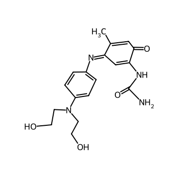 CC1=CC(=O)C(NC(N)=O)=CC1=Nc1ccc(N(CCO)CCO)cc1